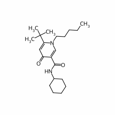 CCCCCn1cc(C(=O)NC2CCCCC2)c(=O)cc1C(C)(C)C